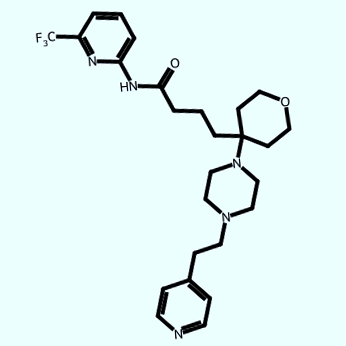 O=C(CCCC1(N2CCN(CCc3ccncc3)CC2)CCOCC1)Nc1cccc(C(F)(F)F)n1